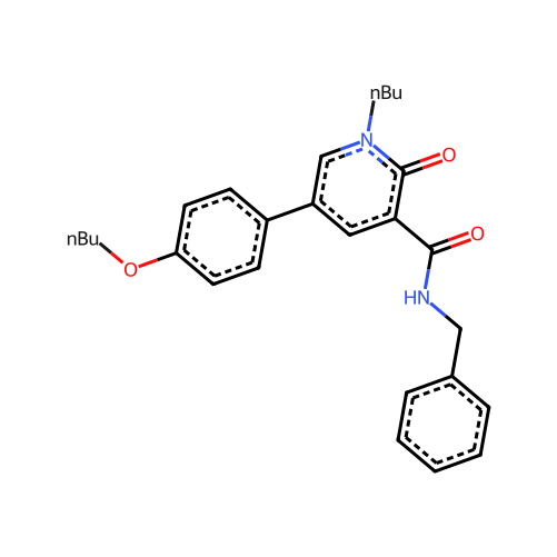 CCCCOc1ccc(-c2cc(C(=O)NCc3ccccc3)c(=O)n(CCCC)c2)cc1